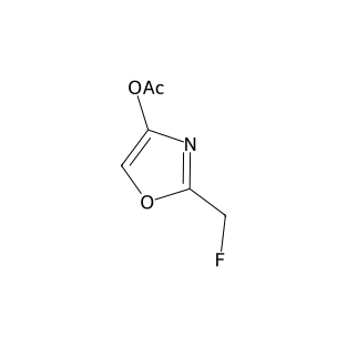 CC(=O)Oc1coc(CF)n1